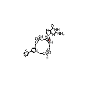 Nc1nc2c(ncn2[C@@H]2O[C@@H]3COP(=O)(S)OCCn4cc(-c5cncs5)cc4COP(=O)(S)O[C@@H]2[C@@H]3F)c(=O)[nH]1